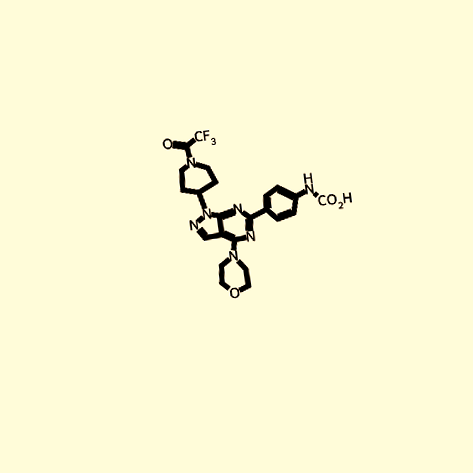 O=C(O)Nc1ccc(-c2nc(N3CCOCC3)c3cnn(C4CCN(C(=O)C(F)(F)F)CC4)c3n2)cc1